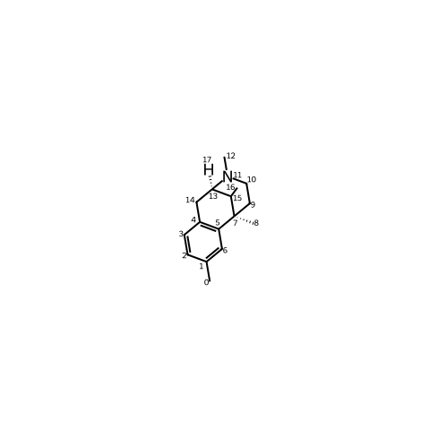 Cc1ccc2c(c1)[C@]1(C)CCN(C)[C@H](C2)C1C